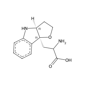 NC(C[C@@]12OCC[C@@H]1Nc1ccccc12)C(=O)O